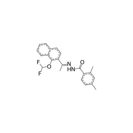 CC(=NNC(=O)c1ccc(C)cc1C)c1ccc2ccccc2c1OC(F)F